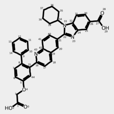 O=C(O)COc1ccc(-c2ccccc2)c(-c2ccc3cc(-c4nc5cc(C(=O)O)ccc5n4C4CCCCC4)ccc3n2)c1